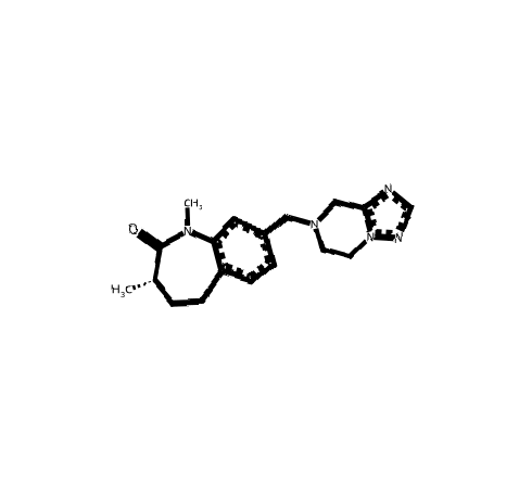 C[C@H]1CCc2ccc(CN3CCn4ncnc4C3)cc2N(C)C1=O